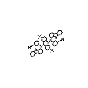 CC(C)(C)c1ccc2c(N(c3cccc(C#N)c3)c3cccc4c3sc3ccccc34)c3cc(C(C)(C)C)ccc3c(N(c3cccc(C#N)c3)c3cccc4c3sc3ccccc34)c2c1